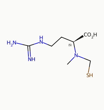 CN(CS)[C@@H](CCNC(=N)N)C(=O)O